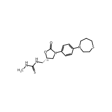 CNC(=S)NC[C@H]1CN(c2ccc(N3CCCSCC3)cc2)C(=O)O1